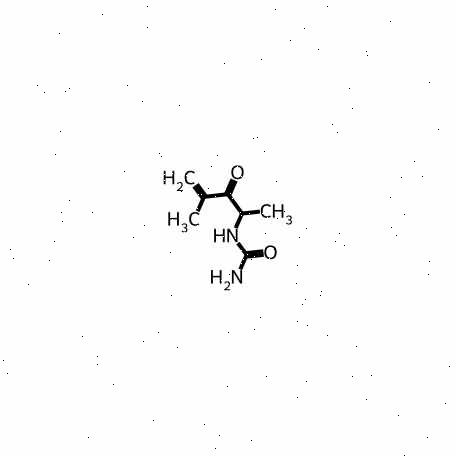 C=C(C)C(=O)C(C)NC(N)=O